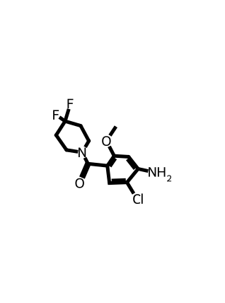 COc1cc(N)c(Cl)cc1C(=O)N1CCC(F)(F)CC1